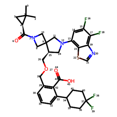 CC1(C)C[C@@H]1C(=O)N1CC2(C1)CN(c1cc(F)c(F)c3ncsc13)C[C@H]2COCc1cccc(C2CCC(F)(F)CC2)c1C(=O)O